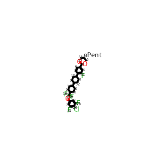 CCCCCC1COC(c2ccc(C3CCC(C4CCC(C(F)(F)Oc5cc(F)c(Cl)c(F)c5)CC4)CC3)c(F)c2)OC1